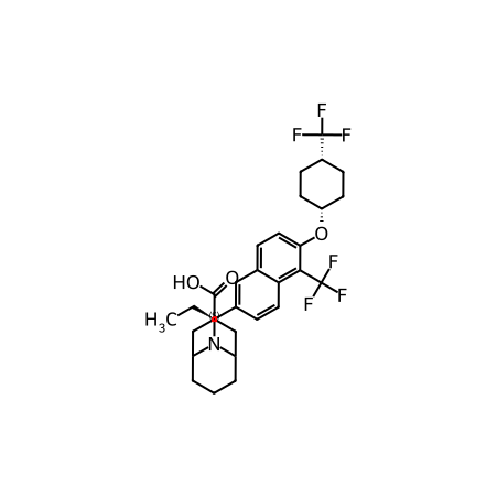 CC[C@@H](c1ccc2c(C(F)(F)F)c(O[C@H]3CC[C@@H](C(F)(F)F)CC3)ccc2c1)N1C2CCCC1CC(C(=O)O)C2